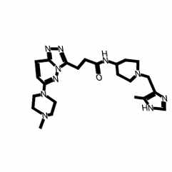 Cc1[nH]cnc1CN1CCC(NC(=O)CCc2nnc3ccc(N4CCN(C)CC4)nn23)CC1